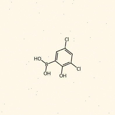 OB(O)c1cc(Cl)cc(Cl)c1O